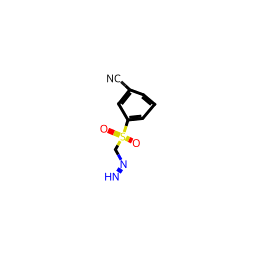 N#Cc1cccc(S(=O)(=O)CN=N)c1